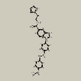 O=C(NCCc1ncc[nH]1)c1ccc2c(c1)ncn2-c1ccc(OCc2ccc(OC(F)(F)F)cc2)cc1